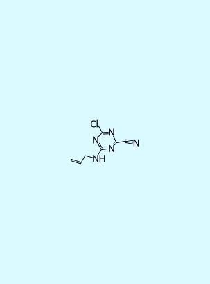 C=CCNc1nc(Cl)nc(C#N)n1